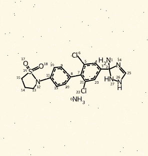 N.NC1(c2cc(Cl)c(-c3ccc(N4CCCS4(=O)=O)cc3)c(Cl)c2)N=CNN1